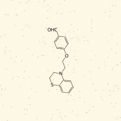 O=Cc1ccc(OCCN2CCSc3ccccc32)cc1